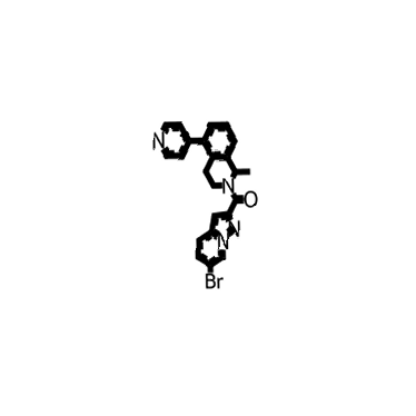 CC1c2cccc(-c3ccncc3)c2CCN1C(=O)c1cc2ccc(Br)cn2n1